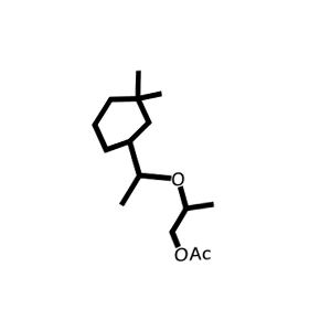 CC(=O)OCC(C)OC(C)C1CCCC(C)(C)C1